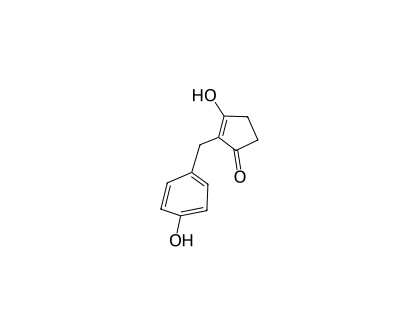 O=C1CCC(O)=C1Cc1ccc(O)cc1